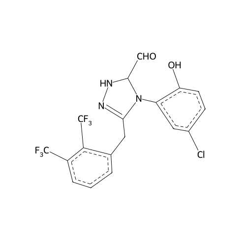 O=CC1NN=C(Cc2cccc(C(F)(F)F)c2C(F)(F)F)N1c1cc(Cl)ccc1O